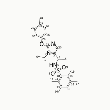 CCn1c(C(C)NS(=O)(=O)c2c(C)c(C)cc(C)c2C)cnc1Oc1ccc(C)cc1